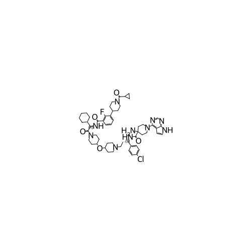 NC1(C(=O)N[C@@H](CCN2CCC(OC3CCN(C(=O)[C@H](NC(=O)c4cccc(C5CCN(C(=O)C6CC6)CC5)c4F)C4CCCCC4)CC3)CC2)c2ccc(Cl)cc2)CCN(c2ncnc3[nH]ccc23)CC1